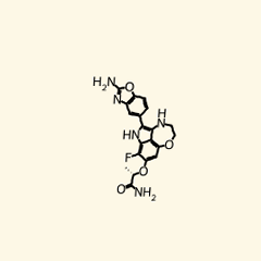 C[C@H](Oc1cc2c3c(c(-c4ccc5oc(N)nc5c4)[nH]c3c1F)NCCO2)C(N)=O